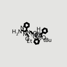 CCOCc1nc2c(N)nc3ccccc3c2n1C[C@@H](C)O[P@@](=O)(N[C@H](C(=O)OC(C)(C)C)c1ccccc1)Oc1ccccc1